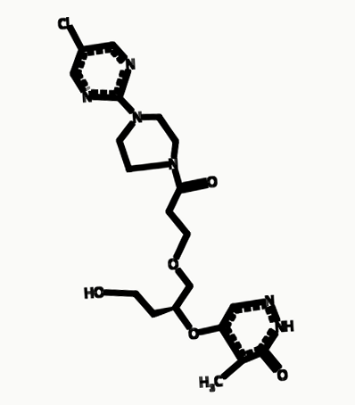 Cc1c(O[C@@H](CCO)COCCC(=O)N2CCN(c3ncc(Cl)cn3)CC2)cn[nH]c1=O